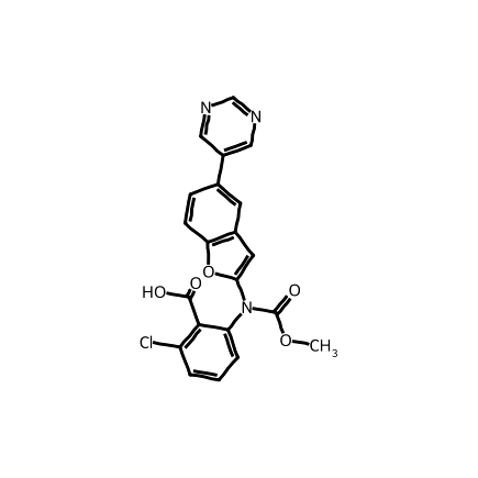 COC(=O)N(c1cc2cc(-c3cncnc3)ccc2o1)c1cccc(Cl)c1C(=O)O